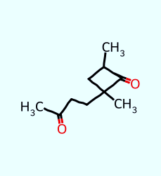 CC(=O)CCC1(C)CC(C)C1=O